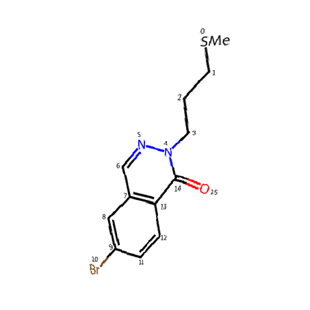 CSCCCn1ncc2cc(Br)ccc2c1=O